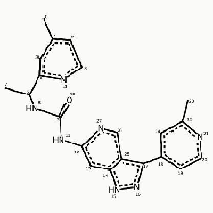 Cc1ccnc(C(C)NC(=O)Nc2cc3[nH]nc(-c4ccnc(C)c4)c3cn2)c1